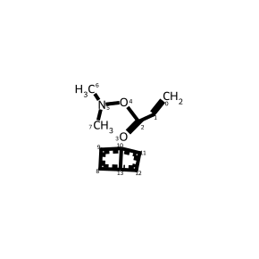 C=CC(=O)ON(C)C.c1cc2ccc1-2